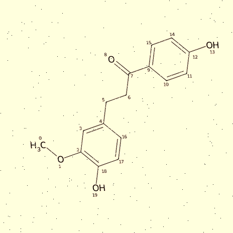 COc1cc(CCC(=O)c2ccc(O)cc2)ccc1O